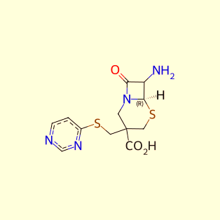 NC1C(=O)N2CC(CSc3ccncn3)(C(=O)O)CS[C@H]12